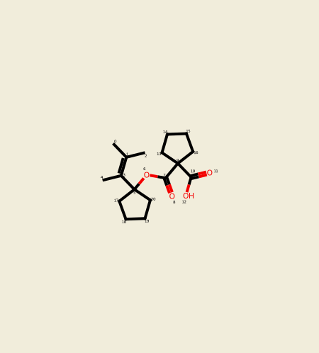 CC(C)=C(C)C1(OC(=O)C2(C(=O)O)CCCC2)CCCC1